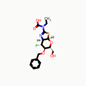 CCN(C(=O)O)C1=N[C@@H]2[C@@H](F)[C@H](OCc3ccccc3)[C@@H](CO)O[C@@H]2S1